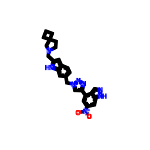 O=[N+]([O-])c1cc(-c2cn(Cc3ccc4cc(CN5CCC6(CCC6)C5)[nH]c4c3)nn2)c2cn[nH]c2c1